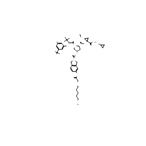 CC[C@@H]1C[C@]1(NC(=O)[C@@H]1C[C@@H](OC(=O)N2Cc3ccc(NC(=O)COCCCCCOC)cc3C2)CN1C(=O)[C@@H](Nc1cc(F)cc(C(F)(F)F)c1)C(C)(C)C)C(=O)NS(=O)(=O)C1CC1